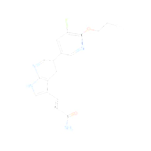 CCCOc1ncc(-c2cnc3[nH]cc(/C=C/C(N)=O)c3c2)cc1F